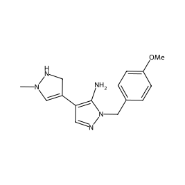 COc1ccc(Cn2ncc(C3=CN(C)NC3)c2N)cc1